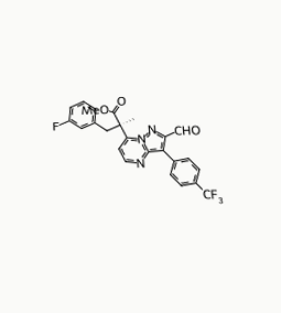 COC(=O)[C@](C)(Cc1cccc(F)c1)c1ccnc2c(-c3ccc(C(F)(F)F)cc3)c(C=O)nn12